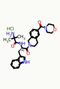 CC(C)(N)C(=O)N[C@H](Cc1c[nH]c2ccccc12)C(=O)N1CCc2cc(C(=O)N3CCOCC3)ccc2C1.Cl